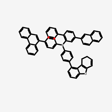 C1=Cc2oc3cccc(-c4ccc(N(c5ccc(-c6cc7ccccc7c7ccccc67)cc5)c5cc(-c6ccc7ccccc7c6)ccc5-c5ccccc5)cc4)c3c2CC1